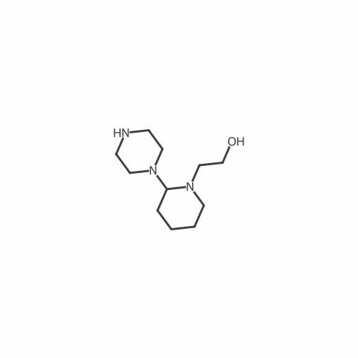 OCCN1CCCCC1N1CCNCC1